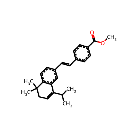 COC(=O)c1ccc(C=Cc2ccc3c(c2)C(C(C)C)=CCC3(C)C)cc1